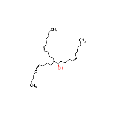 CCCCC/C=C\CCCC(O)C(CCC/C=C\CCCCC)CCC/C=C\CCCCC